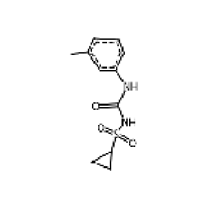 Cc1cccc(NC(=O)NS(=O)(=O)C2CC2)c1